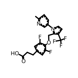 Cc1ccc(-n2ccc(C(F)(F)F)c2COc2c(F)cc(CCC(=O)O)cc2F)cn1